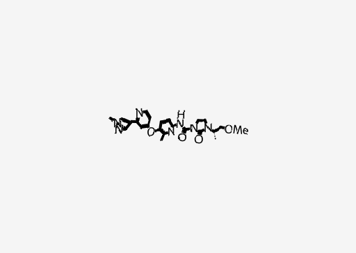 COC[C@H](C)N1CCN(C(=O)Nc2ccc(Oc3ccnc(-c4cnn(C)c4)c3)c(C)n2)C1=O